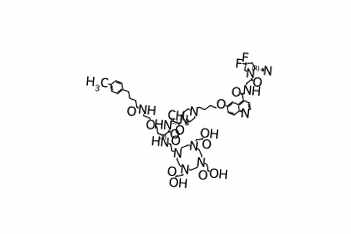 Cc1ccc(CCCC(=O)NCCOCC[C@H](NC(=O)CN2CCN(CC(=O)O)CCN(CC(=O)O)CCN(CC(=O)O)CC2)C(=O)N[C@@H](C)C(=O)N2CCN(CCCCOc3ccc4nccc(C(=O)NCC(=O)N5CC(F)(F)C[C@@H]5C#N)c4c3)CC2)cc1